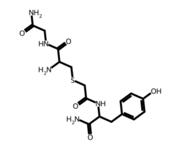 NC(=O)CNC(=O)C(N)CSCC(=O)NC(Cc1ccc(O)cc1)C(N)=O